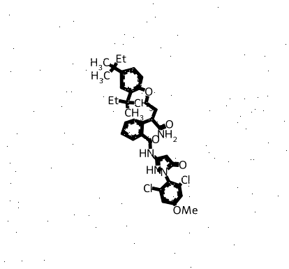 CCC(C)(C)c1ccc(OCCC(C(N)=O)c2ccccc2C(=O)Nc2cc(=O)n(-c3c(Cl)cc(OC)cc3Cl)[nH]2)c(C(C)(C)CC)c1